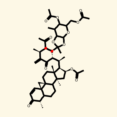 C=C(C(=O)[C@H](CCC(C)=O)[C@@H](C)[C@H]1[C@@H](OC(C)=O)C[C@@]2(C)C3CCC4[C@H](C)C(=O)C=C[C@@]45C[C@@]35CC[C@]12C)[C@@H](C)COC1(C)OC2OC(COC(C)=O)C(OC(C)=O)C(C)C2O1